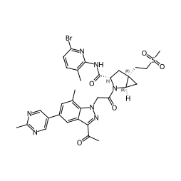 CC(=O)c1nn(CC(=O)N2[C@H](C(=O)Nc3nc(Br)ccc3C)C[C@@]3(CCS(C)(=O)=O)C[C@@H]23)c2c(C)cc(-c3cnc(C)nc3)cc12